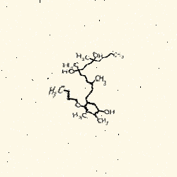 CCCCCC(C)(O)CCCC(C)(O)CCCC(C)CCC1=CC(O)C(C)C(C)=C1OCCCC